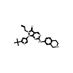 C=CCn1c(=O)c2cnc(Nc3ccc4c(c3)CNCC4)nc2n1-c1csc(C(C)(C)C)c1